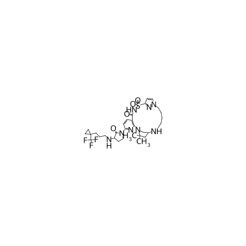 CC1(C)CC2CN1c1nc(N3CCC(NCCCC4(C(F)(F)F)CC4)C3=O)ccc1C(=O)NS(=O)(=O)c1ccn(n1)CCCCCN2